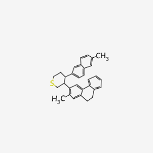 Cc1ccc2cc(C3CCSCC3c3cc4c(cc3C)CCc3ccccc3-4)ccc2c1